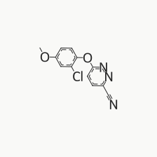 COc1ccc(Oc2ccc(C#N)nn2)c(Cl)c1